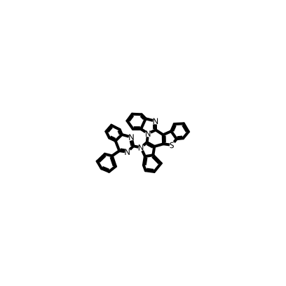 c1ccc(-c2nc(-n3c4ccccc4c4c5sc6ccccc6c5c5nc6ccccc6n5c43)nc3ccccc23)cc1